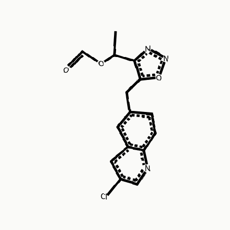 CC(OC=O)c1nnoc1Cc1ccc2ncc(Cl)cc2c1